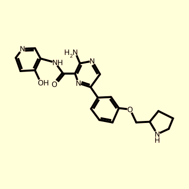 Nc1ncc(-c2cccc(OCC3CCCN3)c2)nc1C(=O)Nc1cnccc1O